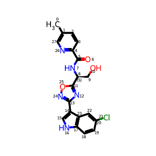 Cc1ccc(C(=O)N[C@@H](CO)c2nc(-c3c[nH]c4ccc(Cl)cc34)no2)nc1